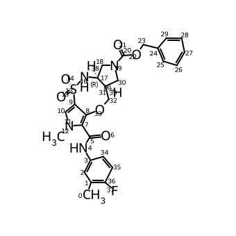 Cc1cc(NC(=O)c2c3c(cn2C)S(=O)(=O)N[C@H]2CN(C(=O)OCc4ccccc4)C[C@H]2CO3)ccc1F